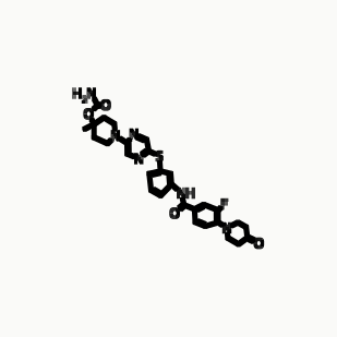 CC1(OC(N)=O)CCN(c2cnc(Sc3cccc(NC(=O)c4ccc(N5CCC(=O)CC5)c(F)c4)c3)cn2)CC1